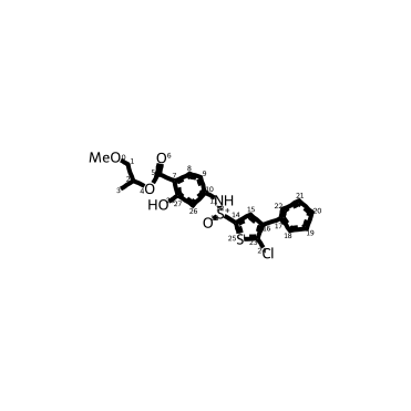 COCC(C)OC(=O)c1ccc(N[S+]([O-])c2cc(-c3ccccc3)c(Cl)s2)cc1O